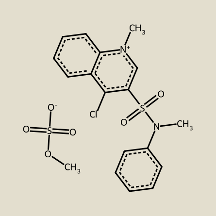 CN(c1ccccc1)S(=O)(=O)c1c[n+](C)c2ccccc2c1Cl.COS(=O)(=O)[O-]